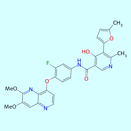 COc1cc2nccc(Oc3ccc(NC(=O)c4cnc(C)c(-c5ccc(C)o5)c4O)cc3F)c2nc1OC